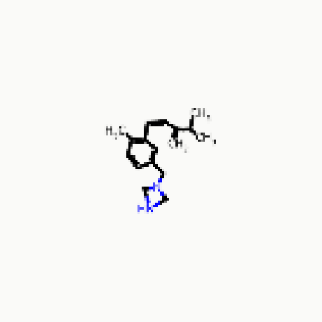 C=C(/C=C\c1cc(CN2CNC2)ccc1C)C(C)C